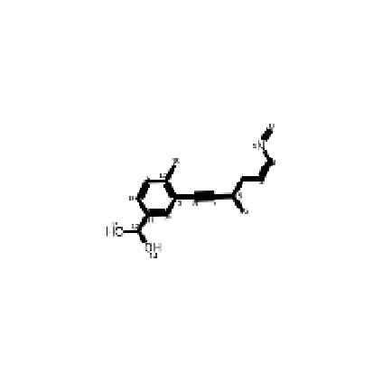 C=N/C=C\CC(C)C#Cc1cc(C(O)O)ccc1C